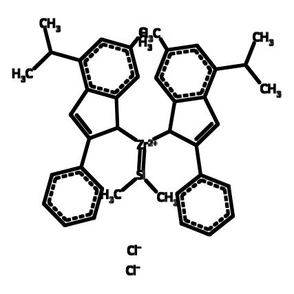 Cc1cc(C(C)C)c2c(c1)[CH]([Zr+2]([CH]1C(c3ccccc3)=Cc3c(C(C)C)cc(C)cc31)=[Si](C)C)C(c1ccccc1)=C2.[Cl-].[Cl-]